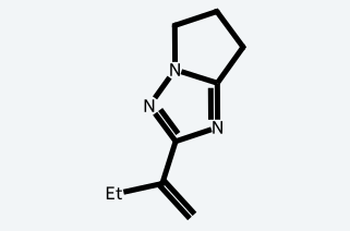 C=C(CC)c1nc2n(n1)CCC2